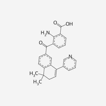 CC1(C)CC=C(c2cccnc2)c2cc(C(=O)c3cccc(C(=O)O)c3N)ccc21